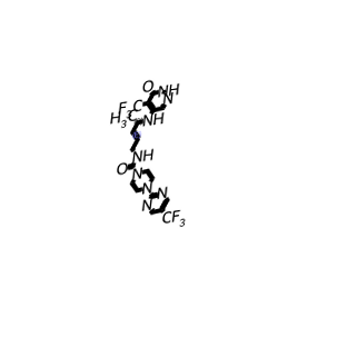 C[C@H](/C=C/CNC(=O)N1CCN(c2ncc(C(F)(F)F)cn2)CC1)Nc1cn[nH]c(=O)c1C(F)(F)F